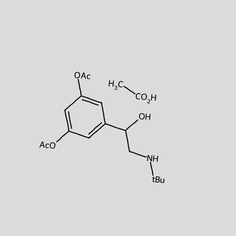 CC(=O)O.CC(=O)Oc1cc(OC(C)=O)cc(C(O)CNC(C)(C)C)c1